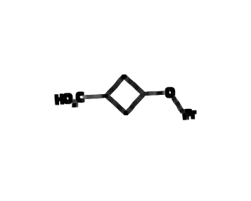 CC(C)OC1CC(C(=O)O)C1